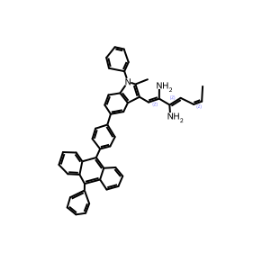 C\C=C/C=C(N)/C(N)=C/c1c(C)n(-c2ccccc2)c2ccc(-c3ccc(-c4c5ccccc5c(-c5ccccc5)c5ccccc45)cc3)cc12